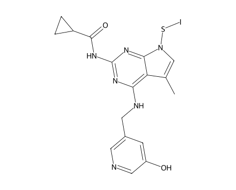 Cc1cn(SI)c2nc(NC(=O)C3CC3)nc(NCc3cncc(O)c3)c12